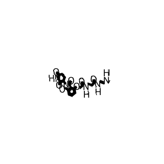 CNCCNC(=O)CCNC(=O)COc1cccc2c1C(=O)N(C1CCC(=O)NC1=O)C2=O